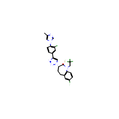 Cc1cn(-c2ccc(-c3cn([C@H]4CCc5cc(F)ccc5N(CC(F)(F)F)C4=O)nn3)cc2F)cn1